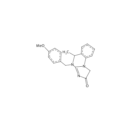 COc1ccc(CN2C3=NC(=O)CN3c3ccccc3C2C)cc1